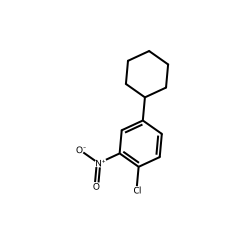 O=[N+]([O-])c1cc(C2CCCCC2)ccc1Cl